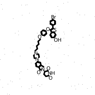 O=C1CCC(N2Cc3cc(N4CCN(CCCCCCOc5ccc(Oc6c(-c7ccc(Br)cc7)sc7cc(O)ccc67)cc5)CC4)ccc3C2=O)C(=O)N1